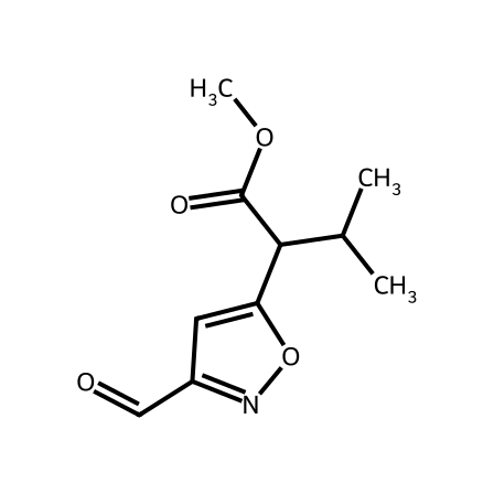 COC(=O)C(c1cc(C=O)no1)C(C)C